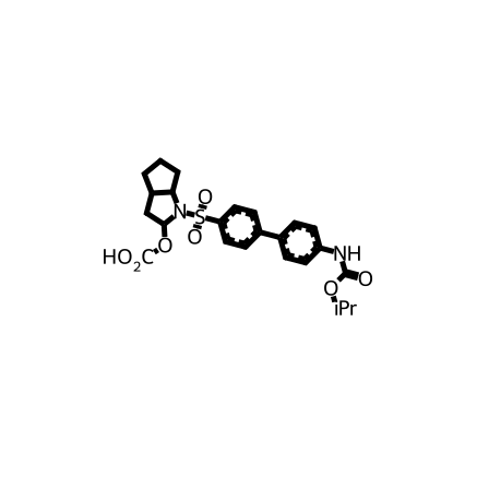 CC(C)OC(=O)Nc1ccc(-c2ccc(S(=O)(=O)N3C(OC(=O)O)CC4CCCC43)cc2)cc1